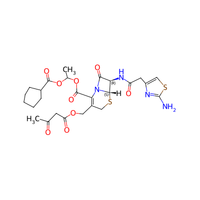 CC(=O)CC(=O)OCC1=C(C(=O)OC(C)OC(=O)C2CCCCC2)N2C(=O)[C@@H](NC(=O)Cc3csc(N)n3)[C@@H]2SC1